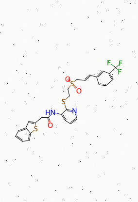 O=C(Cc1cc2ccccc2s1)Nc1cccnc1SCCS(=O)(=O)CC=Cc1cccc(C(F)(F)F)c1